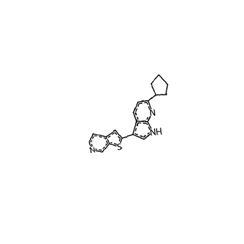 c1cc2cc(-c3c[nH]c4nc(C5CCCC5)ccc34)sc2cn1